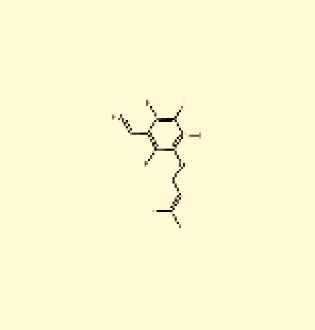 C=Cc1c(F)c(F)c(F)c(OCC=C(F)F)c1F